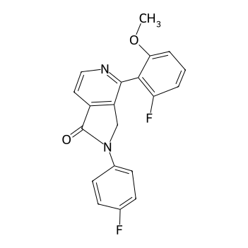 COc1cccc(F)c1-c1nccc2c1CN(c1ccc(F)cc1)C2=O